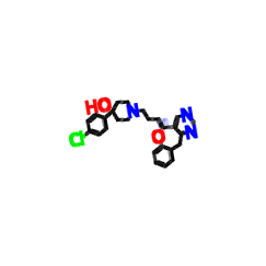 OC1(c2ccc(Cl)cc2)CCN(CC/C=C2\Oc3ccccc3Cc3ncncc32)CC1